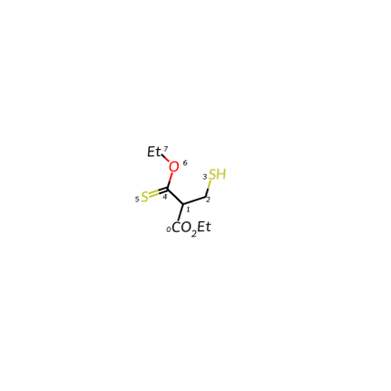 CCOC(=O)C(CS)C(=S)OCC